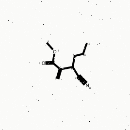 C=C(C(=O)OC)C(C#N)CCC